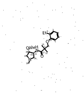 CCc1ccccc1OCC(C)(C)C(=O)N[C@H]1CN(C)C[C@@H]1OC